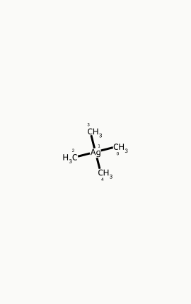 [CH3][Ag]([CH3])([CH3])[CH3]